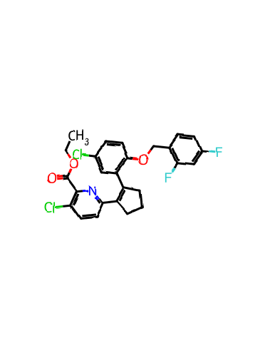 CCOC(=O)c1nc(C2=C(c3cc(Cl)ccc3OCc3ccc(F)cc3F)CCC2)ccc1Cl